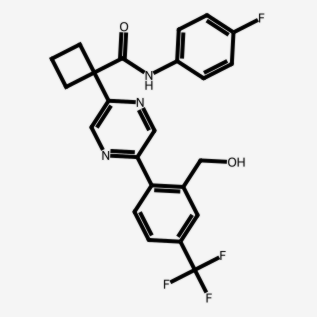 O=C(Nc1ccc(F)cc1)C1(c2cnc(-c3ccc(C(F)(F)F)cc3CO)cn2)CCC1